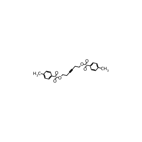 Cc1ccc(S(=O)(=O)OCCC#CCCOS(=O)(=O)c2ccc(C)cc2)cc1